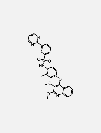 COc1nc2ccccc2c(Oc2ccc(NS(=O)(=O)c3cccc(-c4ncccn4)c3)c(C)c2)c1OC